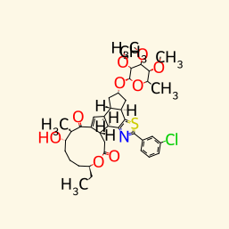 CC[C@H]1CCC[C@H](O)[C@@H](C)C(=O)C2=C[C@H]3[C@@H]4C[C@H](O[C@@H]5OC(C)[C@H](OC)C(OC)C5OC)C[C@H]4c4sc(-c5cccc(Cl)c5)nc4[C@H]3[C@@H]2CC(=O)O1